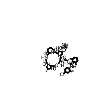 Cc1cccc(C[C@H](NC(=O)Nc2ccc(Cl)cc2F)C(=O)N[C@@H]2C(=O)N3C[C@H](OP(=O)(O)O)C[C@H]3C(=O)N3CCCC[C@H]3C(=O)N[C@@H](C)C(=O)N3C[C@H](C)C[C@H]3C(=O)O[C@H]2C)c1